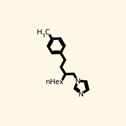 CCCCCCC(CCc1ccc(C)cc1)Cn1ccnc1